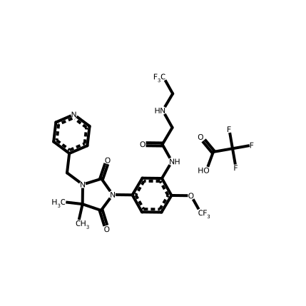 CC1(C)C(=O)N(c2ccc(OC(F)(F)F)c(NC(=O)CNCC(F)(F)F)c2)C(=O)N1Cc1ccncc1.O=C(O)C(F)(F)F